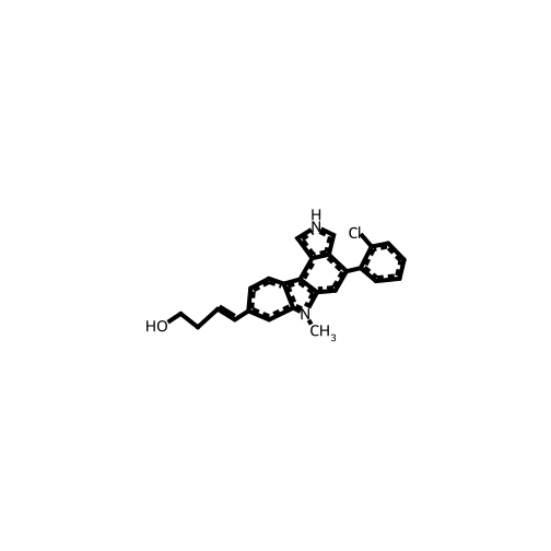 Cn1c2cc(C=CCCO)ccc2c2c3c[nH]cc3c(-c3ccccc3Cl)cc21